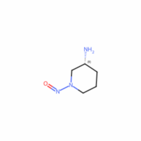 N[C@@H]1CCCN(N=O)C1